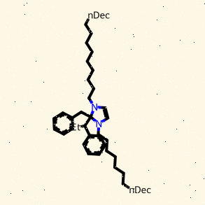 CCCCCCCCCCCCCCCCCCCN1C=CN(CCCCCCCCCCCCCCCCC)C1(Cc1ccccc1)C(CC)c1ccccc1